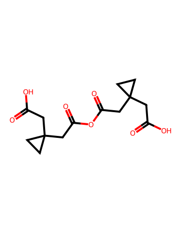 O=C(O)CC1(CC(=O)OC(=O)CC2(CC(=O)O)CC2)CC1